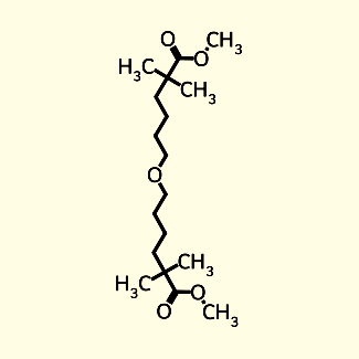 COC(=O)C(C)(C)CCCCOCCCCC(C)(C)C(=O)OC